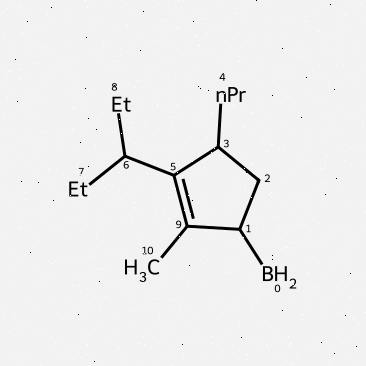 BC1CC(CCC)C(C(CC)CC)=C1C